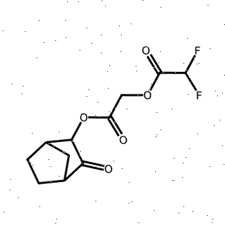 O=C(COC(=O)C(F)F)OC1C(=O)C2CCC1C2